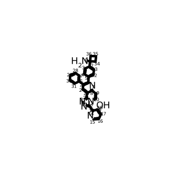 NC1(c2ccc(-c3nc4ccn5c(-c6ncccc6O)nnc5c4cc3-c3ccccc3)cc2)CCC1